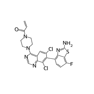 C=CC(=O)N1CCN(c2ncnc3c(Cl)c(-c4ccc(F)c5sc(N)nc45)c(Cl)cc23)CC1